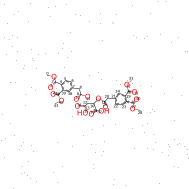 COC(=O)c1ccc(CC(=O)O[C@@H](C(=O)O)[C@@H](OC(=O)Cc2ccc(C(=O)OC)c(C(=O)OC)c2)C(=O)O)cc1C(=O)OC